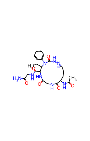 CCC1C(C(=O)NCC(N)=O)NC(=O)CNC(=O)C(NC(C)=O)CC/C=N\NC(=O)N1c1ccccc1